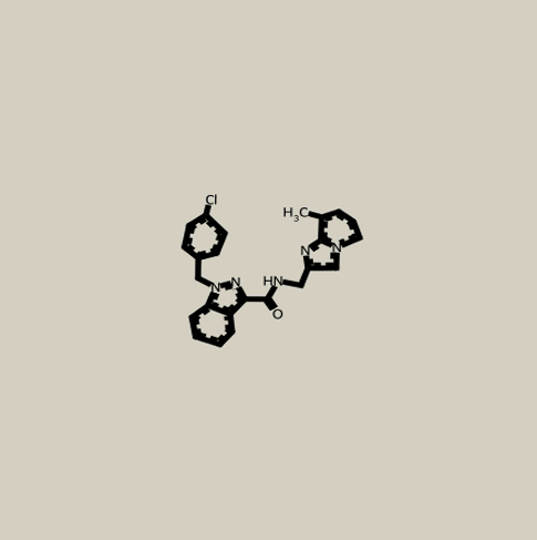 Cc1cccn2cc(CNC(=O)c3nn(Cc4ccc(Cl)cc4)c4ccccc34)nc12